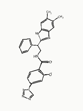 Cc1cc2nc(C(CNC(=O)c3ccc(-n4cnnn4)cc3Cl)c3ccccc3)[nH]c2cc1C